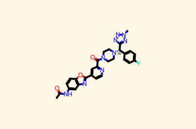 CC(=O)Nc1ccc2oc(-c3ccnc(C(=O)N4CCN([C@@H](c5ccc(F)cc5)c5nnn(C)n5)CC4)c3)nc2c1